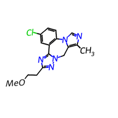 COCCc1nc2n(n1)Cc1c(C)ncn1-c1ccc(Cl)cc1-2